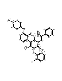 CC(=O)N1CCC(Oc2cccc(-c3c(C)n(Cc4c(F)cccc4C(F)(F)F)c(=O)n(CC(N)c4ccccc4)c3=O)c2F)CC1